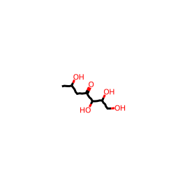 CC(O)CC(=O)C(O)C(O)CO